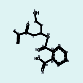 C=C(C)C(=O)CC(CCO)OC(=O)c1ccccc1C(=O)O